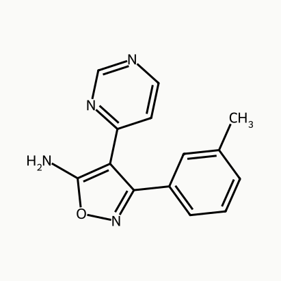 Cc1cccc(-c2noc(N)c2-c2ccncn2)c1